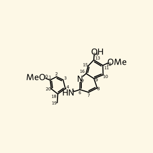 COc1ccc(Nc2ccc3cc(OC)c(O)cc3n2)c(C)c1